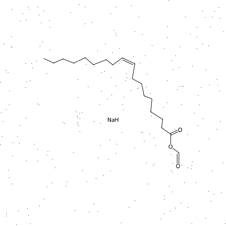 CCCCCCCC/C=C\CCCCCCCC(=O)OC=O.[NaH]